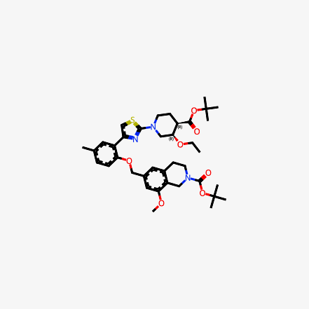 CCO[C@H]1CN(c2nc(-c3cc(C)ccc3OCc3cc4c(c(OC)c3)CN(C(=O)OC(C)(C)C)CC4)cs2)CC[C@H]1C(=O)OC(C)(C)C